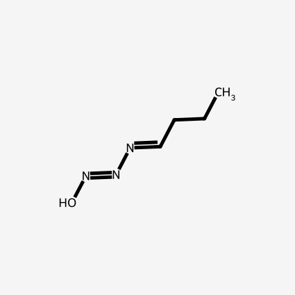 CCCC=NN=NO